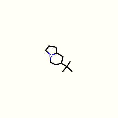 CC(C)(C)C1CCN2CCCC2C1